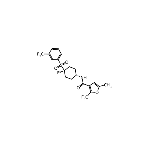 Cc1cc(C(=O)N[C@H]2CC[C@@](F)(S(=O)(=O)c3cccc(C(F)(F)F)c3)CC2)c(C(F)(F)F)o1